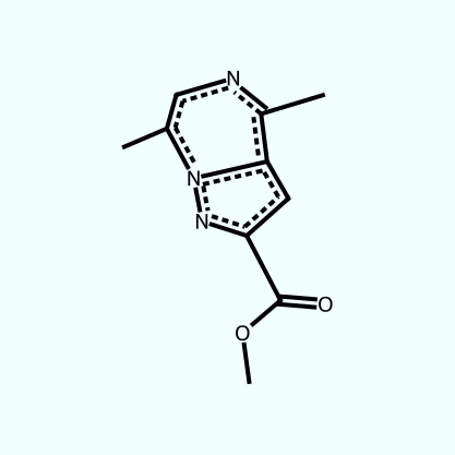 COC(=O)c1cc2c(C)ncc(C)n2n1